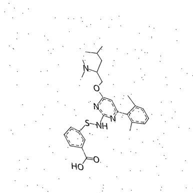 Cc1cccc(C)c1-c1cc(OCC(CC(C)C)N(C)C)nc(NSc2cccc(C(=O)O)c2)n1